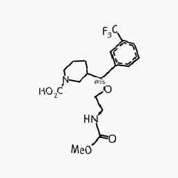 COC(=O)NCCO[C@@H](c1cccc(C(F)(F)F)c1)C1CCCN(C(=O)O)C1